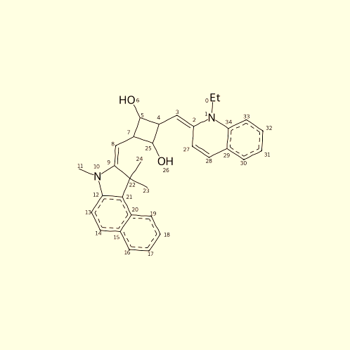 CCN1C(=CC2C(O)C(C=C3N(C)c4ccc5ccccc5c4C3(C)C)C2O)C=Cc2ccccc21